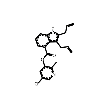 C=CCc1[nH]c2cccc(C(=O)Oc3cc(Cl)cnc3C)c2c1CC=C